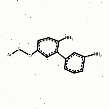 CC(=O)SOc1ccc(N)c(-c2cccc(N)c2)c1